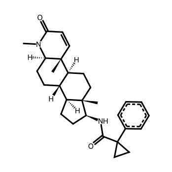 CN1C(=O)C=C[C@]2(C)[C@H]3CC[C@]4(C)[C@@H](NC(=O)C5(c6ccccc6)CC5)CC[C@H]4[C@@H]3CC[C@@H]12